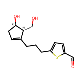 O=Cc1ccc(CCCC2=CC[C@@H](O)[C@@H]2CO)s1